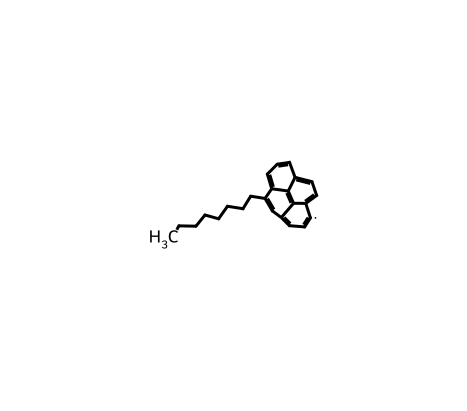 CCCCCCCCc1cc2cc[c]c3ccc4cccc1c4c32